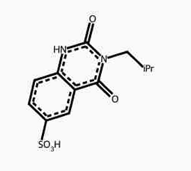 CC(C)Cn1c(=O)[nH]c2ccc(S(=O)(=O)O)cc2c1=O